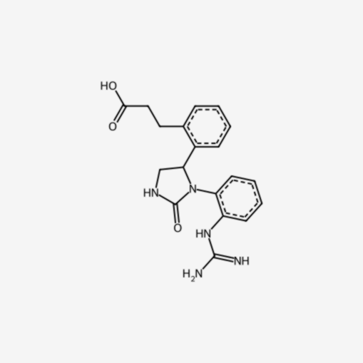 N=C(N)Nc1ccccc1N1C(=O)NCC1c1ccccc1CCC(=O)O